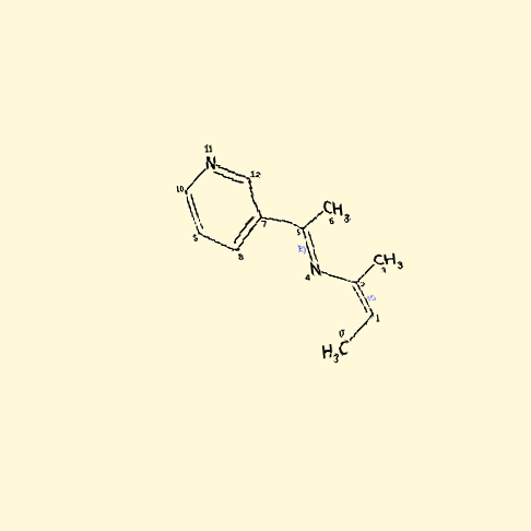 C/C=C(C)\N=C(/C)c1cccnc1